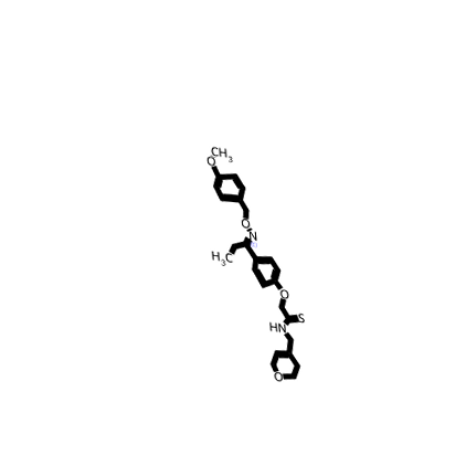 CC/C(=N\OCc1ccc(OC)cc1)c1ccc(OCC(=S)NCC2=CCOCC2)cc1